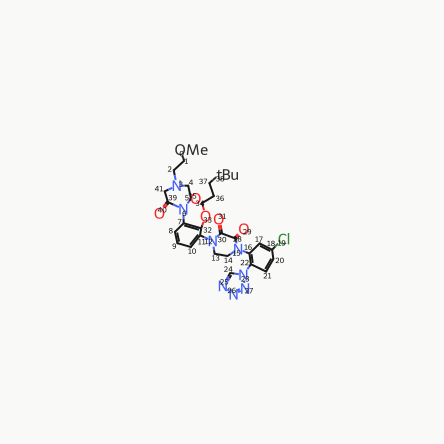 COCCN1CCN(c2cccc(N3CCN(c4cc(Cl)ccc4-n4cnnn4)C(=O)C3=O)c2OC(=O)CCC(C)(C)C)C(=O)C1